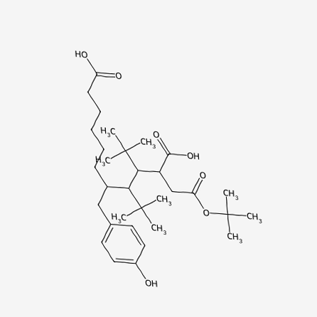 CC(C)(C)OC(=O)CC(C(=O)O)C(C(C(CCCCCC(=O)O)Cc1ccc(O)cc1)C(C)(C)C)C(C)(C)C